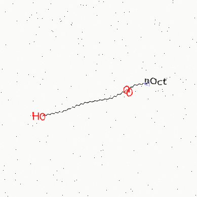 CCCCCCCC/C=C\CCCCCCCC(=O)OCCCCCCCCCCCCCCCCCCCCCCCCCCCCCCCCCCCCCCO